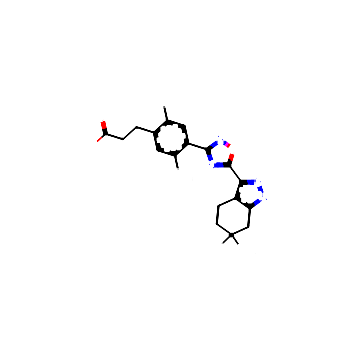 Cc1cc(-c2noc(-c3n[nH]c4c3CCC(C)(C)C4)n2)c(C)cc1CCC(=O)O